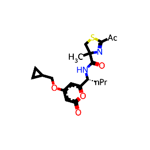 CCC[C@@H](NC(=O)C1(C)CSC(C(C)=O)=N1)c1cc(OCC2CC2)cc(=O)o1